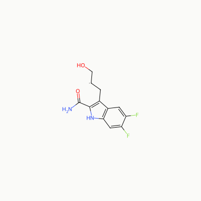 NC(=O)c1[nH]c2cc(F)c(F)cc2c1C[CH]CO